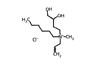 C=CC[N+](C)(CCCCCC)CCC(O)CO.[Cl-]